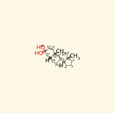 C[C@@]12CCC[C@H]1C1=C(CC2)[C@@]2(C)C=CC(O)(O)C[C@H]2CC1